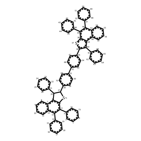 c1ccc(-c2c3c(c4ccccc4c2-c2ccccc2)C(c2ccccc2)C(c2ccc(-c4ccc(-c5sc6c(-c7ccccc7)c(-c7ccccc7)c7ccccc7c6c5-c5ccccc5)cc4)cc2)S3)cc1